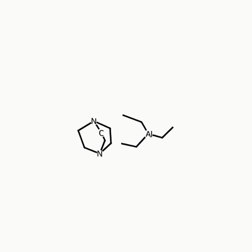 C1CN2CCN1CC2.C[CH2][Al]([CH2]C)[CH2]C